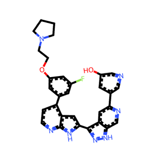 Oc1cncc(-c2cc3c(-c4cc5c(-c6cc(F)cc(OCCN7CCCC7)c6)ccnc5[nH]4)n[nH]c3cn2)c1